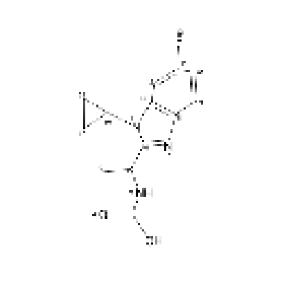 CC(NC(=O)O)c1nc2ccc(F)cc2n1C1CC1